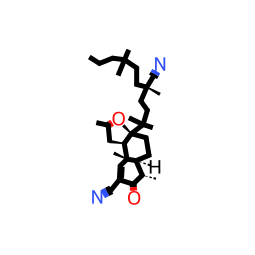 CCCC(C)(C)CC[C@](C)(C#N)CCC(C)(C)[C@]1(C)CC[C@H]2[C@H](C)C(=O)C(C#N)=C[C@]2(C)[C@H]1CC(C)=O